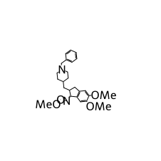 COON=C1c2cc(OC)c(OC)cc2CC1CC1CCN(Cc2ccccc2)CC1